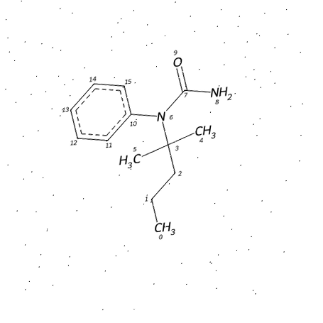 C[CH]CC(C)(C)N(C(N)=O)c1ccccc1